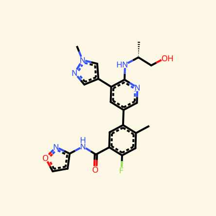 Cc1cc(F)c(C(=O)Nc2ccon2)cc1-c1cnc(N[C@H](C)CO)c(-c2cnn(C)c2)c1